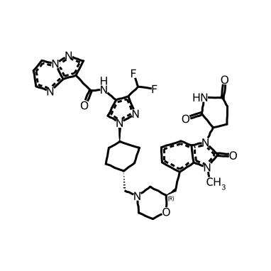 Cn1c(=O)n(C2CCC(=O)NC2=O)c2cccc(C[C@@H]3CN(C[C@H]4CC[C@H](n5cc(NC(=O)c6cnn7cccnc67)c(C(F)F)n5)CC4)CCO3)c21